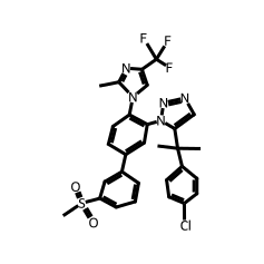 Cc1nc(C(F)(F)F)cn1-c1ccc(-c2cccc(S(C)(=O)=O)c2)cc1-n1nncc1C(C)(C)c1ccc(Cl)cc1